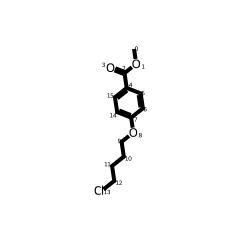 COC(=O)c1ccc(OCCCCCl)cc1